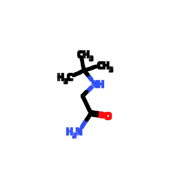 CC(C)(C)NCC(N)=O